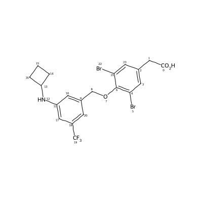 O=C(O)Cc1cc(Br)c(OCc2cc(NC3CCC3)cc(C(F)(F)F)c2)c(Br)c1